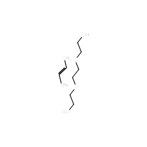 C/C=C/CCCC.OCCOCCOCCO